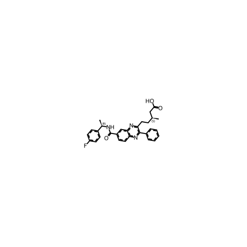 C[C@@H](CCc1nc2cc(C(=O)N[C@H](C)c3ccc(F)cc3)ccc2nc1-c1ccccc1)CC(=O)O